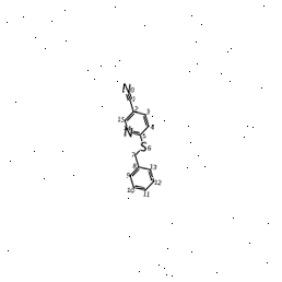 N#Cc1ccc(SCc2ccccc2)nc1